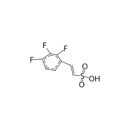 O=S(=O)(O)C=Cc1ccc(F)c(F)c1F